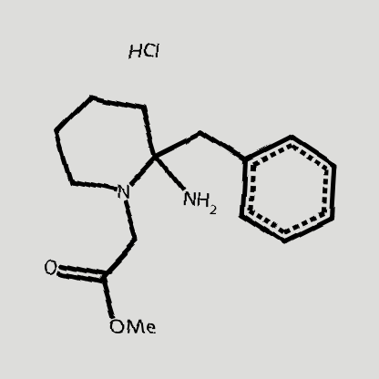 COC(=O)CN1CCCCC1(N)Cc1ccccc1.Cl